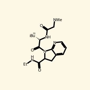 CCNC(=O)C1Cc2cccnc2N1C(=O)C(NC(=O)CNC)[C@@H](C)CC